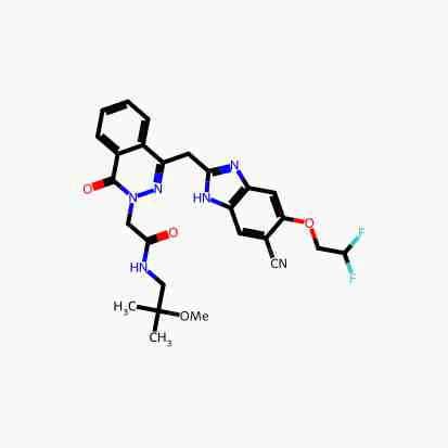 COC(C)(C)CNC(=O)Cn1nc(Cc2nc3cc(OCC(F)F)c(C#N)cc3[nH]2)c2ccccc2c1=O